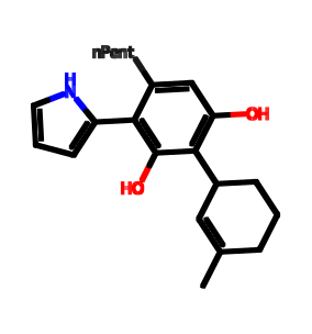 CCCCCc1cc(O)c(C2C=C(C)CCC2)c(O)c1-c1ccc[nH]1